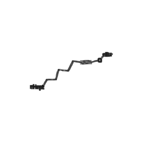 CCC[CH]OC#CCCCCCCCCCCCC